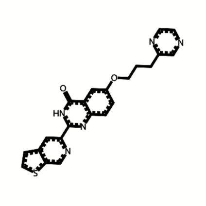 O=c1[nH]c(-c2cc3ccsc3cn2)nc2ccc(OCCCc3cnccn3)cc12